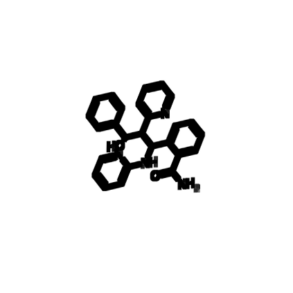 NC(=O)c1ccccc1C(Nc1ccccn1)C(c1ccccn1)C(O)c1ccccc1